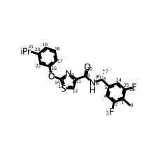 Cc1c(F)cc([C@@H](C)NC(=O)c2csc(Oc3cccc(C(C)C)c3)n2)cc1F